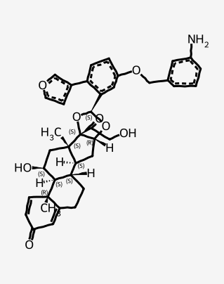 C[C@]12C=CC(=O)C=C1CC[C@@H]1[C@@H]2[C@@H](O)C[C@@]2(C)[C@H]1C[C@H]1O[C@H](c3cc(OCc4cccc(N)c4)ccc3-c3ccoc3)O[C@]12C(=O)CO